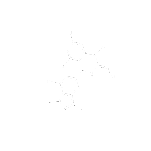 Cc1nn(C)c2nc(CN/C(=C\C#N)N(c3cc(Cl)nc(Cl)c3)C(C)C)cc(C(C)C)c12